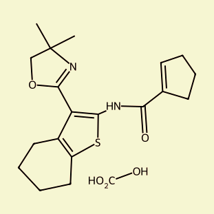 CC1(C)COC(c2c(NC(=O)C3=CCCC3)sc3c2CCCC3)=N1.O=C(O)O